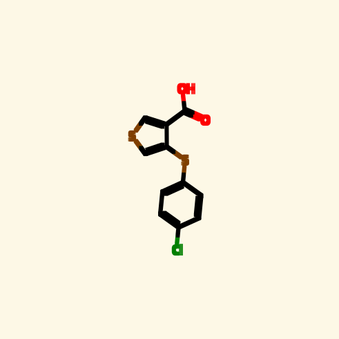 O=C(O)c1cscc1Sc1ccc(Cl)cc1